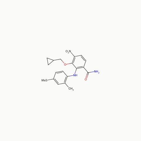 CSc1ccc(Nc2c(C(N)=O)ccc([N+](=O)[O-])c2OCC2CC2)c(C)c1